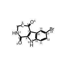 O=C1NCCC(=O)c2c1[nH]c1ccc(Br)cc21